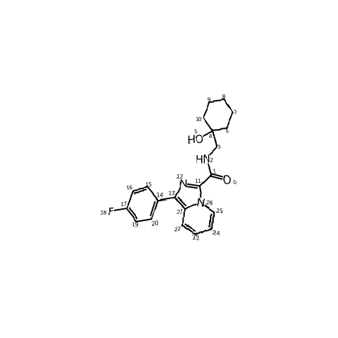 O=C(NCC1(O)CCCCC1)c1nc(-c2ccc(F)cc2)c2ccccn12